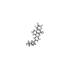 CC1CN(C(=O)N(Cc2ccc(-c3nnc(C(F)(F)F)o3)cc2)c2ccccc2)C[C@H](C)N1C